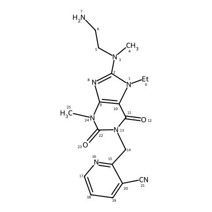 CCn1c(N(C)CCN)nc2c1c(=O)n(Cc1ncccc1C#N)c(=O)n2C